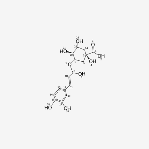 O=C(O)[C@]1(O)CC(OC(O)/C=C/c2ccc(O)c(O)c2)[C@@H](O)[C@H](O)C1